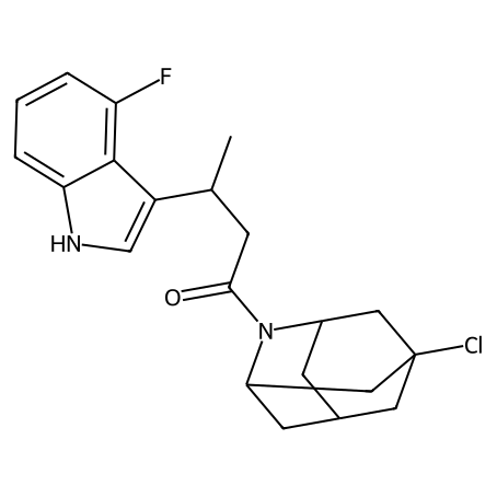 CC(CC(=O)N1C2CC3CC1CC(Cl)(C3)C2)c1c[nH]c2cccc(F)c12